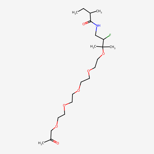 CCC(C)C(=O)NCC(F)C(C)(C)OCCOCCOCCOCCOCC(C)=O